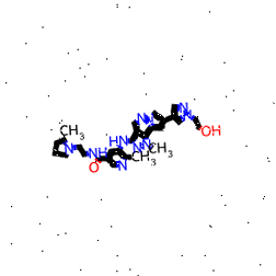 Cc1ncc(C(=O)NCCN2CCC[C@@H]2C)cc1Nc1nn(C)c2c1cnn1cc(-c3cnn(CCO)c3)cc21